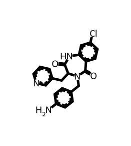 Nc1ccc(CN2C(=O)c3ccc(Cl)cc3NC(=O)C2Cc2cccnc2)cc1